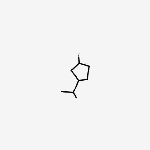 CC(C)C1CCC(I)C1